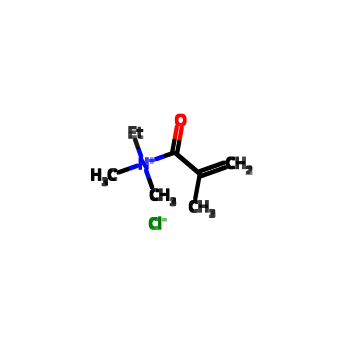 C=C(C)C(=O)[N+](C)(C)CC.[Cl-]